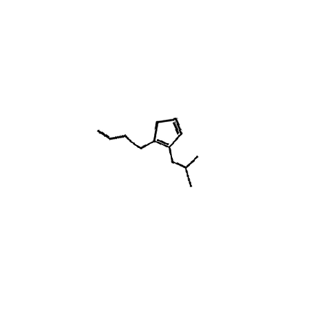 CCCCC1=C(CC(C)C)C=CC1